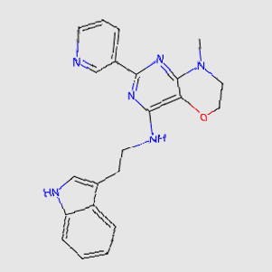 CN1CCOc2c(NCCc3c[nH]c4ccccc34)nc(-c3cccnc3)nc21